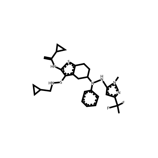 C=C(Nc1sc2c(c1SNCC1CC1)CC(N(Nc1cc(C(C)(F)F)nn1C)c1ccccc1)CC2)C1CC1